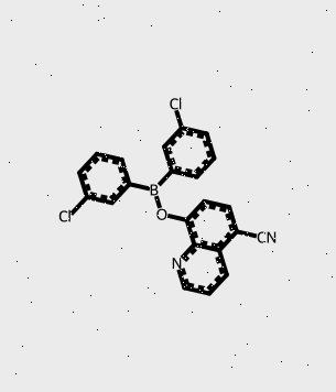 N#Cc1ccc(OB(c2cccc(Cl)c2)c2cccc(Cl)c2)c2ncccc12